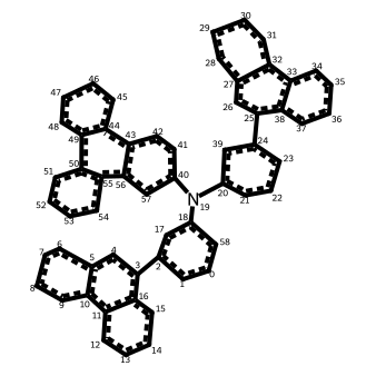 c1cc(-c2cc3ccccc3c3ccccc23)cc(N(c2cccc(-c3cc4ccccc4c4ccccc34)c2)c2ccc3c4ccccc4c4ccccc4c3c2)c1